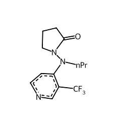 CCCN(c1ccncc1C(F)(F)F)N1CCCC1=O